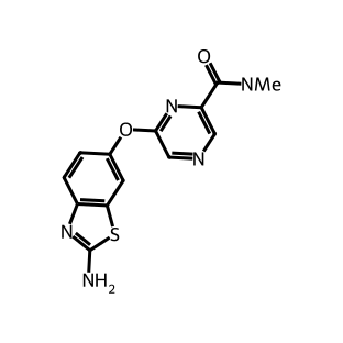 CNC(=O)c1cncc(Oc2ccc3nc(N)sc3c2)n1